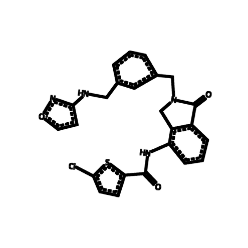 O=C(Nc1cccc2c1CN(Cc1cccc(CNc3ccon3)c1)C2=O)c1ccc(Cl)s1